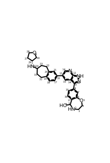 OC1NCCOc2cc(-c3n[nH]c4ncc(-c5ccc6c(c5)CCC(N[C@@H]5CCOC5)CC6)cc34)ccc21